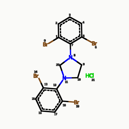 Brc1cccc(Br)c1N1CCN(c2c(Br)cccc2Br)C1.Cl